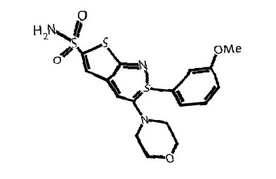 COc1cccc(S2=C(N3CCOCC3)C=c3cc(S(N)(=O)=O)sc3=N2)c1